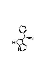 N#CC(c1ccccc1)c1c[nH]c2ncccc12